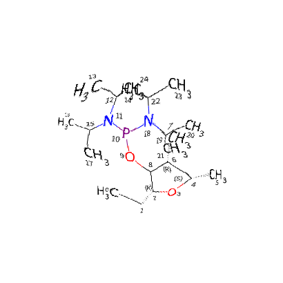 CC[C@H]1O[C@@H](C)[C@@H](C)C1OP(N(C(C)C)C(C)C)N(C(C)C)C(C)C